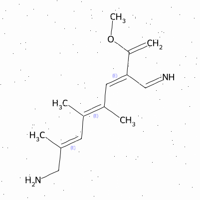 C=C(OC)/C(C=N)=C/C(C)=C(C)/C=C(\C)CN